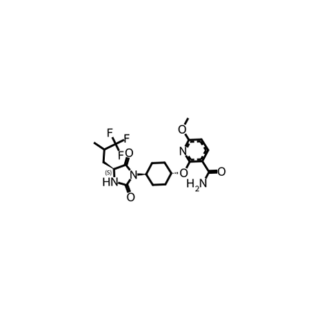 COc1ccc(C(N)=O)c(O[C@H]2CC[C@H](N3C(=O)N[C@@H](CC(C)C(F)(F)F)C3=O)CC2)n1